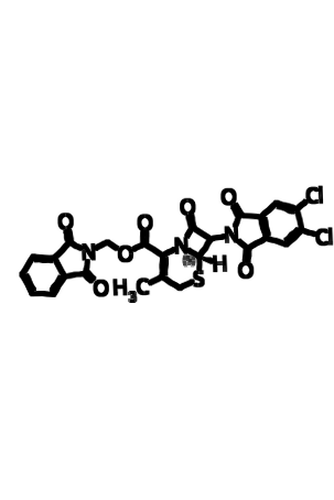 CC1=C(C(=O)OCN2C(=O)c3ccccc3C2=O)N2C(=O)C(N3C(=O)c4cc(Cl)c(Cl)cc4C3=O)[C@@H]2SC1